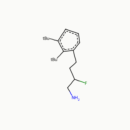 CC(C)(C)c1cccc(CCC(F)CN)c1C(C)(C)C